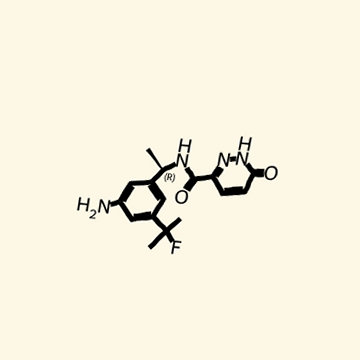 C[C@@H](NC(=O)c1ccc(=O)[nH]n1)c1cc(N)cc(C(C)(C)F)c1